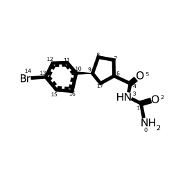 NC(=O)NC(=O)C1CC[C@H](c2ccc(Br)cc2)C1